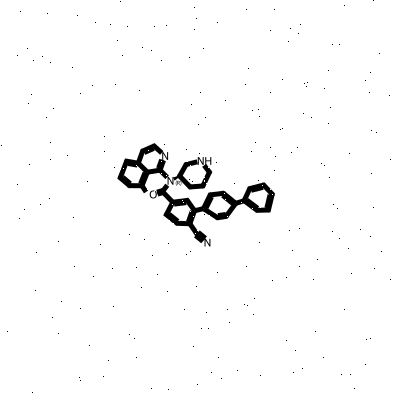 Cc1cccc2ccnc(N(C(=O)c3ccc(C#N)c(-c4ccc(-c5ccccc5)cc4)c3)[C@@H]3CCCNC3)c12